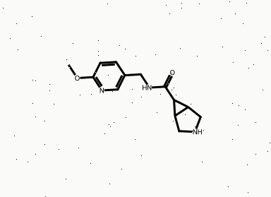 COc1ccc(CNC(=O)C2C3CNCC32)cn1